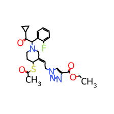 CCOC(=O)c1cn(CC=C2CN(C(C(=O)C3CC3)c3ccccc3F)CCC2SC(C)=O)nn1